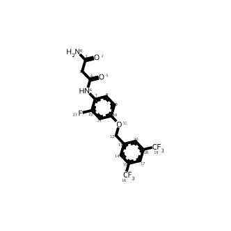 NC(=O)CC(=O)Nc1ccc(OCc2cc(C(F)(F)F)cc(C(F)(F)F)c2)cc1F